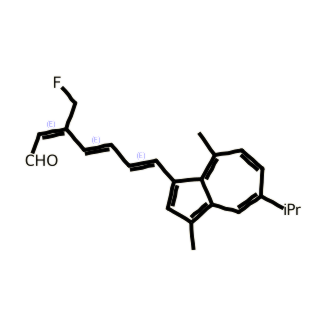 Cc1cc(/C=C/C=C/C(=C\C=O)CF)c2c(C)ccc(C(C)C)cc1-2